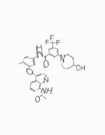 CC(=O)Nc1cccc2c(Oc3cc(NC(=O)c4cc(N5CCC(O)CC5)cc(C(F)(F)F)c4)ccc3C)ccnc12